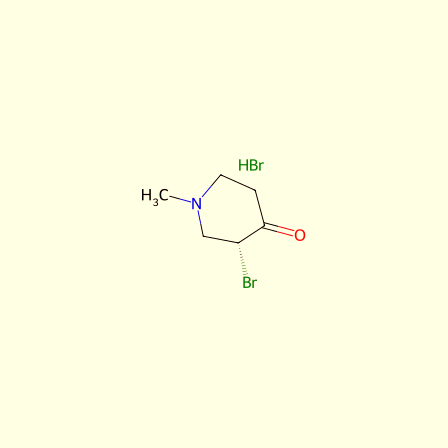 Br.CN1CCC(=O)[C@H](Br)C1